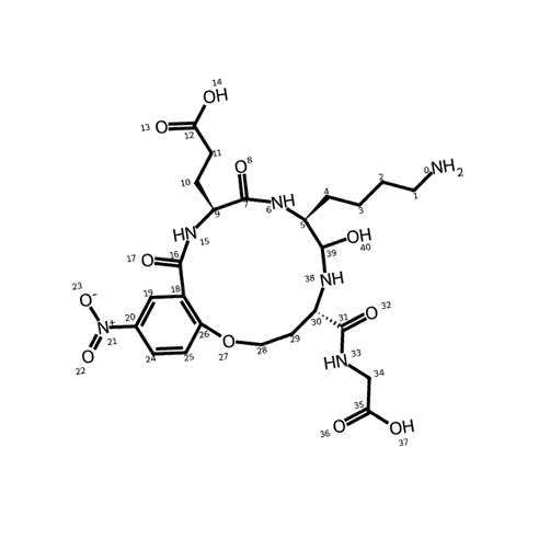 NCCCC[C@@H]1NC(=O)[C@H](CCC(=O)O)NC(=O)c2cc([N+](=O)[O-])ccc2OCC[C@@H](C(=O)NCC(=O)O)NC1O